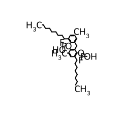 CCCCCCCCCc1cc(C)cc(Cc2cc(C)cc(CCCCCCCCC)c2OP(O)F)c1OP(O)F